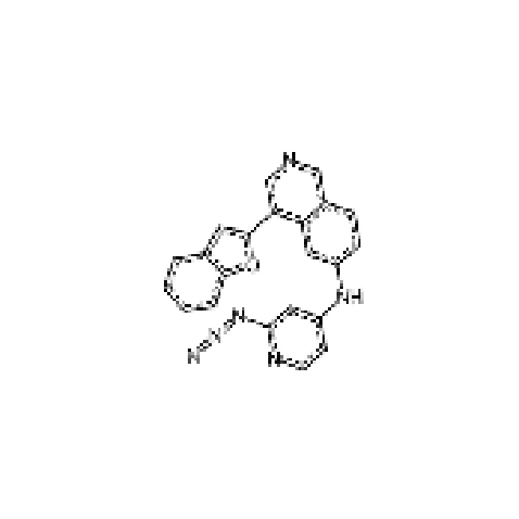 [N-]=[N+]=Nc1cc(Nc2ccc3cncc(-c4cc5ccccc5o4)c3c2)ccn1